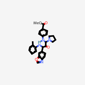 COC(=O)c1ccc(N(F)C(C(=O)C(Nc2ccccc2C)c2ccc3ncoc3c2)N2CCCC2)cc1